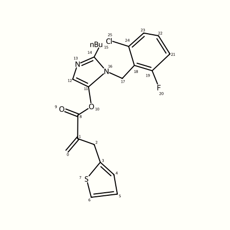 C=C(Cc1cccs1)C(=O)Oc1cnc(CCCC)n1Cc1c(F)cccc1Cl